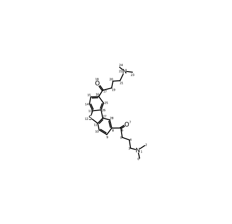 CN(C)CCCC(=O)c1ccc2sc3ccc(C(=O)CCCN(C)C)cc3c2c1